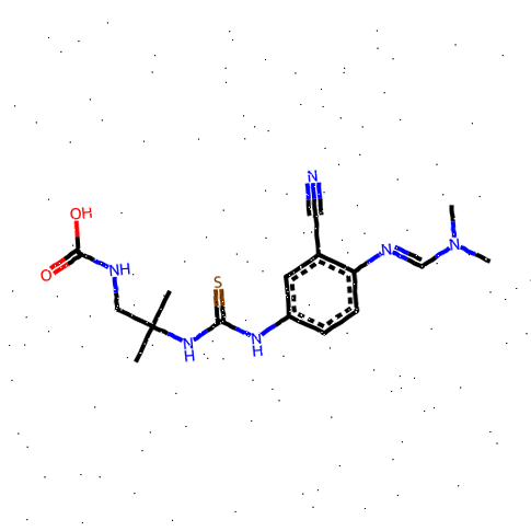 CN(C)C=Nc1ccc(NC(=S)NC(C)(C)CNC(=O)O)cc1C#N